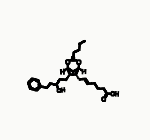 CCCCB1O[C@H]2C[C@@H](O1)[C@H](CCC(O)CCc1ccccc1)[C@H]2CC=CCCCC(=O)O